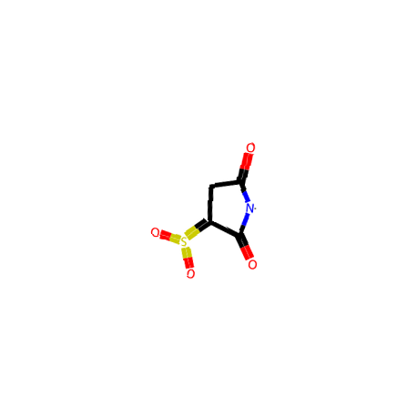 O=C1CC(=S(=O)=O)C(=O)[N]1